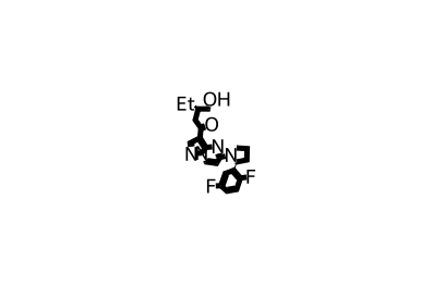 CC[C@@H](CO)CC(=O)c1cnn2ccc(N3CCC[C@@H]3c3cc(F)ccc3F)nc12